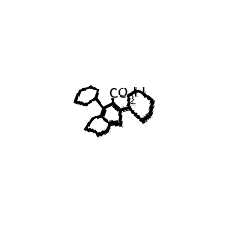 O=C(O)c1c(C2CCCCC2)cc2c(c1C1CCCCC1)CCCC2